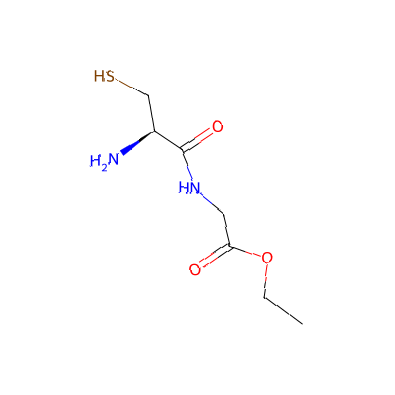 CCOC(=O)CNC(=O)[C@@H](N)CS